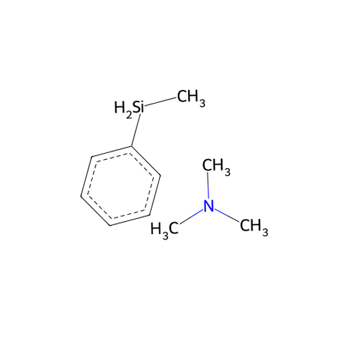 CN(C)C.C[SiH2]c1ccccc1